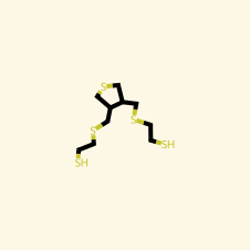 SCCSCC1CSCC1CSCCS